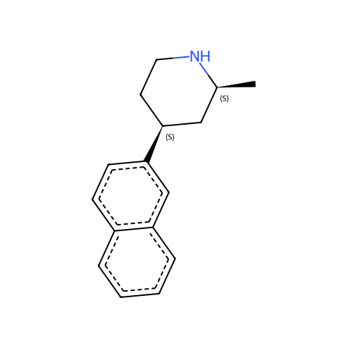 C[C@H]1C[C@@H](c2ccc3ccccc3c2)CCN1